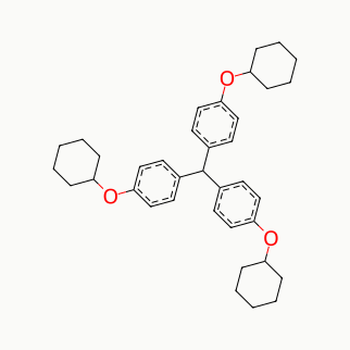 c1cc(C(c2ccc(OC3CCCCC3)cc2)c2ccc(OC3CCCCC3)cc2)ccc1OC1CCCCC1